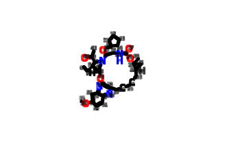 CC[C@@H]1[C@@H]2CN(C(=O)[C@H](C3(C)CCCC3)NC(=O)O[C@]3(C)C[C@H]3CCCCCc3nc4ccc(OC)cc4nc3O2)[C@@H]1C(C)=O